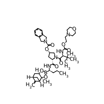 C=C1[C@@H]2C[C@H]3OB([C@H](CCC)NC(=O)[C@@H]4C[C@@H](OC(=O)N5Cc6ccccc6C5)CN4C(=O)[C@@H](NC(=O)OCCN4CCOCC4)C(C)(C)C)O[C@@]3(C)[C@H]1C2